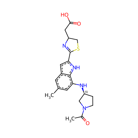 CC(=O)N1CC[C@H](Nc2cc(C)cc3cc(C4=NC(CC(=O)O)CS4)[nH]c23)C1